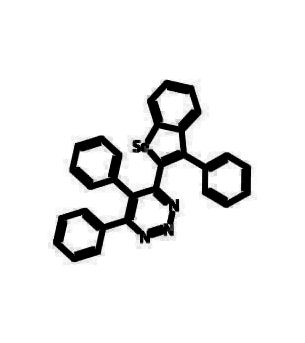 c1ccc(-c2nnnc(-c3[se]c4ccccc4c3-c3ccccc3)c2-c2ccccc2)cc1